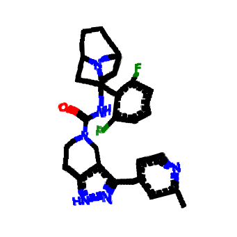 Cc1cc(-c2n[nH]c3c2CN(C(=O)NC2CC4CCC(C2)N4Cc2c(F)cccc2F)CC3)ccn1